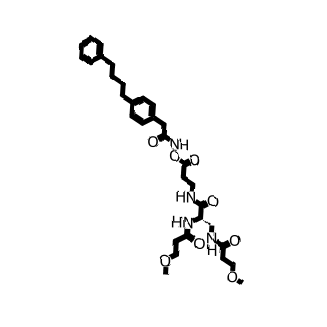 COCCC(=O)NC[C@H](NC(=O)CCOC)C(=O)NCCC(=O)ONC(=O)Cc1ccc(CCCCc2ccccc2)cc1